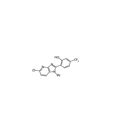 CC(C)n1c(-c2ccc(C(F)(F)F)cc2O)nc2nc(Cl)ccc21